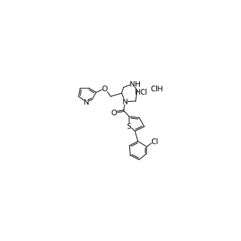 Cl.Cl.O=C(c1ccc(-c2ccccc2Cl)s1)N1CCNCC1COc1cccnc1